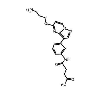 NCCCOc1ccn2ncc(-c3cccc(NC(=O)CCC(=O)O)c3)c2n1